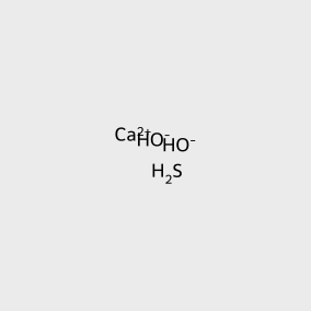 S.[Ca+2].[OH-].[OH-]